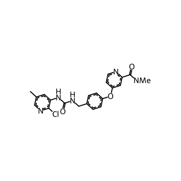 CNC(=O)c1cc(Oc2ccc(CNC(=O)Nc3cc(C)cnc3Cl)cc2)ccn1